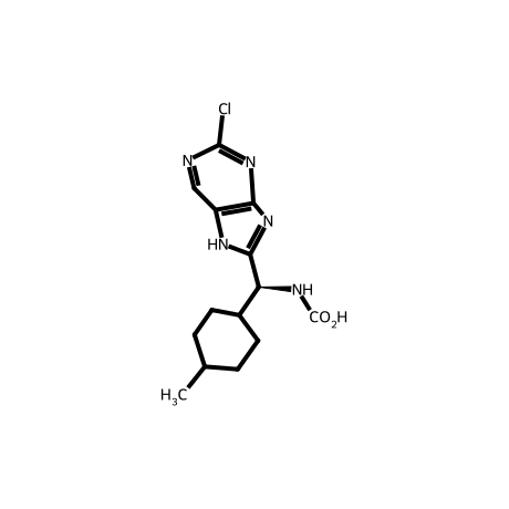 CC1CCC([C@H](NC(=O)O)c2nc3nc(Cl)ncc3[nH]2)CC1